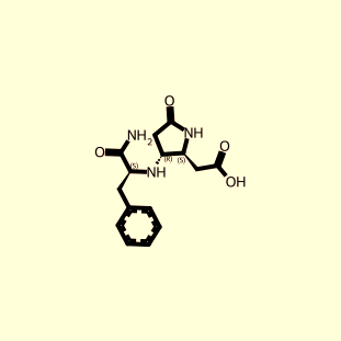 NC(=O)[C@H](Cc1ccccc1)N[C@@H]1CC(=O)N[C@H]1CC(=O)O